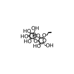 C=CCO[C@H]1O[C@H](CO)[C@@H](O)[C@H](O[C@@H]2O[C@H](CO)[C@@H](O)[C@H](O)[C@H]2O)[C@H]1O